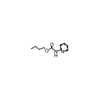 CCCCOC(=O)Nc1c[c]ccn1